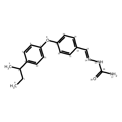 CCC(C)c1ccc(Oc2ccc(C=NNC(N)=O)cc2)cc1